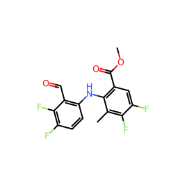 COC(=O)c1cc(F)c(F)c(C)c1Nc1ccc(F)c(F)c1C=O